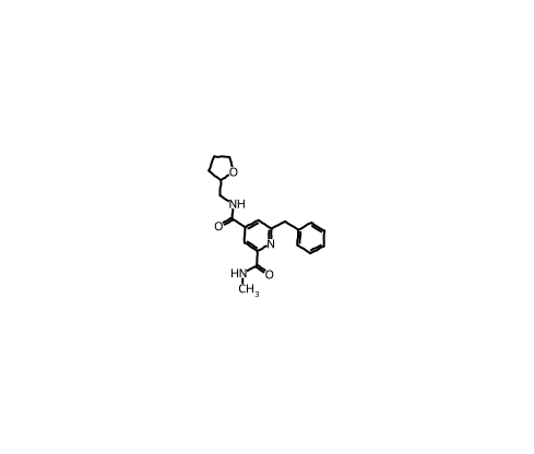 CNC(=O)c1cc(C(=O)NCC2CCCO2)cc(Cc2ccccc2)n1